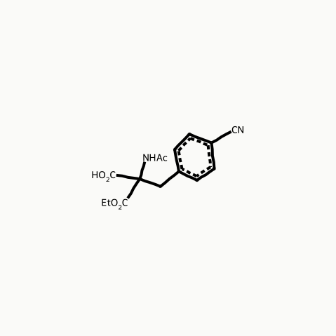 CCOC(=O)C(Cc1ccc(C#N)cc1)(NC(C)=O)C(=O)O